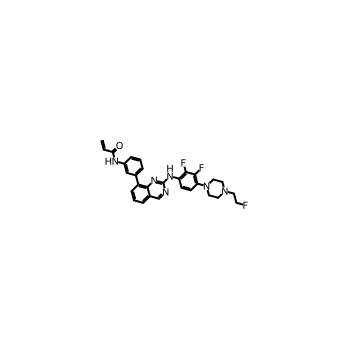 C=CC(=O)Nc1cccc(-c2cccc3cnc(Nc4ccc(N5CCN(CCF)CC5)c(F)c4F)nc23)c1